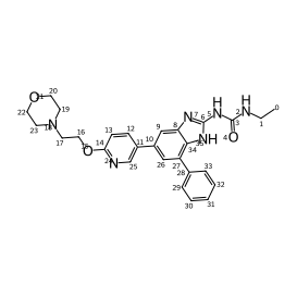 CCNC(=O)Nc1nc2cc(-c3ccc(OCCN4CCOCC4)nc3)cc(-c3ccccc3)c2[nH]1